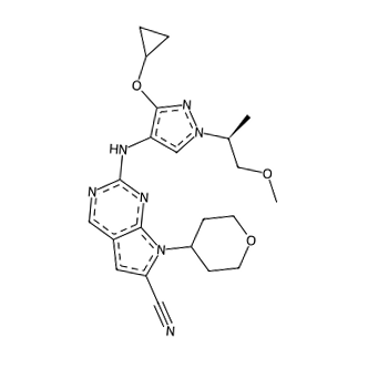 COC[C@H](C)n1cc(Nc2ncc3cc(C#N)n(C4CCOCC4)c3n2)c(OC2CC2)n1